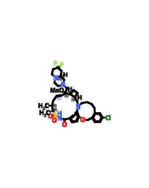 CO[C@]1(CN2CCN3CCC(F)(F)C[C@H]3C2)/C=C/C[C@H](C)[C@@H](C)S(=O)(=O)NC(=O)c2ccc3c(c2)N(CCCCc2cc(Cl)ccc2CO3)C[C@@H]2CC[C@H]21